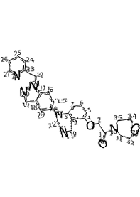 O=C(COc1cccc2c1CN=CN2c1ccc2c(cnn2Cc2ccccn2)c1)N1CCOCC1